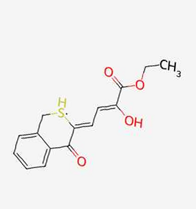 CCOC(=O)C(O)=CC=C1[SH]Cc2ccccc2C1=O